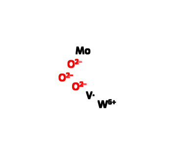 [Mo].[O-2].[O-2].[O-2].[V].[W+6]